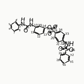 O=C(Nc1ccccc1)Nc1cccc(OS(=O)(=O)c2ccc(NS(=O)(=O)c3ccccc3)cc2)c1